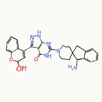 N[C@@H]1c2ccccc2CC12CCN(c1nc3[nH]nc(C4=CC(O)Oc5ccccc54)c3c(=O)[nH]1)CC2